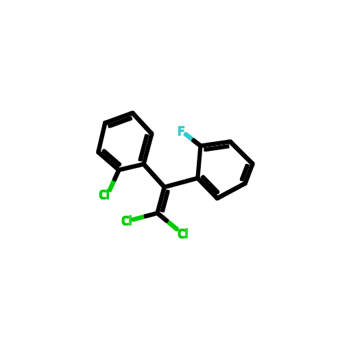 Fc1ccccc1C(=C(Cl)Cl)c1ccccc1Cl